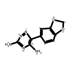 Nc1nnc(-c2ccc3c(c2)OCO3)c(N)n1